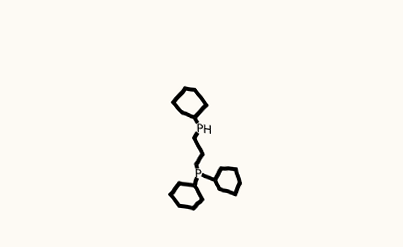 C1CCC(PCCCP(C2CCCCC2)C2CCCCC2)CC1